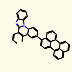 C/C=C\C1=C(C)C2C=C(c3ccc4c5cccc6cccc(c7cccc3c74)c65)C=CC2n2c1nc1ccccc12